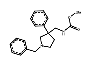 CC(C)(C)OC(=O)NCC1(c2ccccc2)CCN(Cc2ccccc2)C1